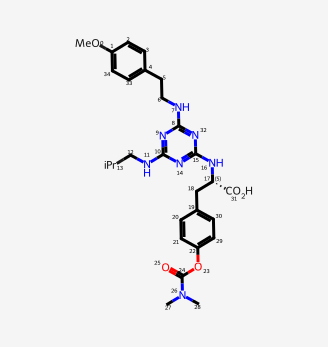 COc1ccc(CCNc2nc(NCC(C)C)nc(N[C@@H](Cc3ccc(OC(=O)N(C)C)cc3)C(=O)O)n2)cc1